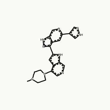 CN1CCN(c2cncc3[nH]c(-c4n[nH]c5cnc(-c6cn[nH]c6)cc45)cc23)CC1